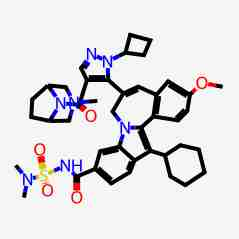 COc1ccc2c(c1)C=C(c1c(C(=O)N3C4CCC3CN(C)C4)cnn1C1CCC1)Cn1c-2c(C2CCCCC2)c2ccc(C(=O)NS(=O)(=O)N(C)C)cc21